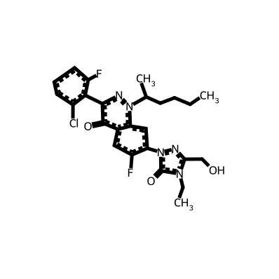 CCCCC(C)n1nc(-c2c(F)cccc2Cl)c(=O)c2cc(F)c(-n3nc(CO)n(CC)c3=O)cc21